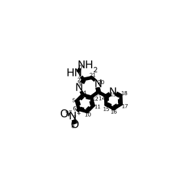 NNC1=Nc2cc([N+](=O)[O-])ccc2C(c2ccccn2)=NC1